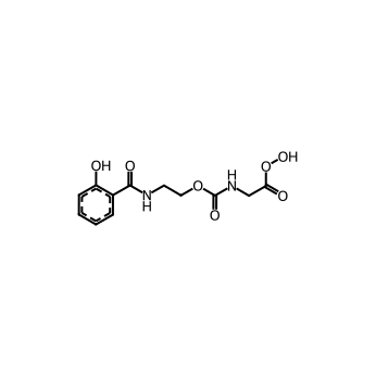 O=C(CNC(=O)OCCNC(=O)c1ccccc1O)OO